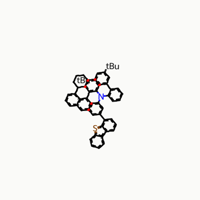 CC(C)(C)c1cc(-c2ccccc2N(c2cccc(-c3cccc4c3sc3ccccc34)c2)c2ccccc2-c2cccc3cccc(C4CCCCC4)c23)cc(C(C)(C)C)c1